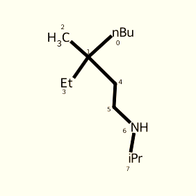 CCCCC(C)(CC)CCNC(C)C